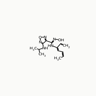 C=C/C(=C\C=C/C)N/C(=N\O)c1nonc1NC(C)C